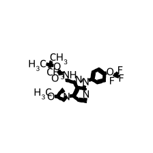 COC1CN(c2ccnc3c2c(CNC(=O)OC(C)(C)C)nn3-c2ccc(OC(F)(F)F)cc2)C1